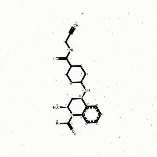 C#CCNC(=O)C1CCC(N[C@@H]2C[C@H](C)N(C(=O)CC)c3ccccc32)CC1